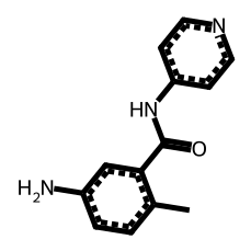 Cc1ccc(N)cc1C(=O)Nc1ccncc1